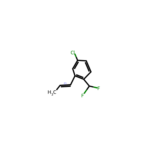 C/C=C/c1cc(Cl)ccc1C(F)F